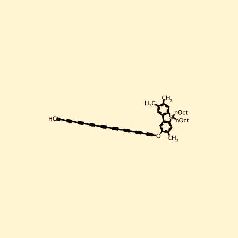 C#CC#CC#CC#CC#CC#CC#CC#CC#COc1cc2c(cc1C)[Si](CCCCCCCC)(CCCCCCCC)c1cc(C)c(C)cc1-2